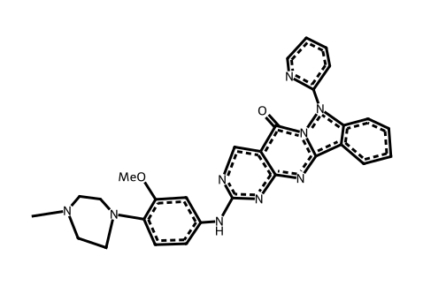 COc1cc(Nc2ncc3c(=O)n4c(nc3n2)c2ccccc2n4-c2ccccn2)ccc1N1CCN(C)CC1